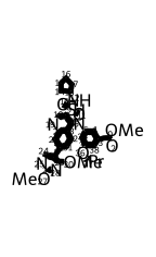 COC(=O)c1cc(Nc2c(S(=O)(=O)NC3CCCC3)cnc3cc(-c4cnc(OC)nc4OC)ccc23)cc(OC(C)C)c1